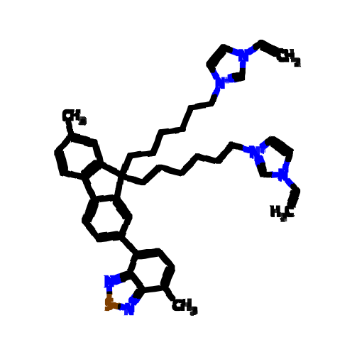 C=Cn1cc[n+](CCCCCCC2(CCCCCC[n+]3ccn(C=C)c3)c3cc(C)ccc3-c3ccc(-c4ccc(C)c5nsnc45)cc32)c1